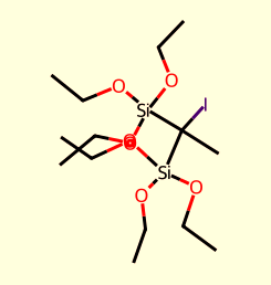 CCO[Si](OCC)(OCC)C(C)(I)[Si](OCC)(OCC)OCC